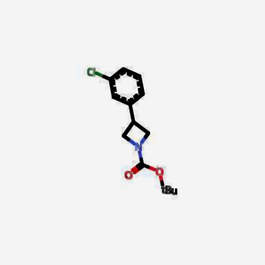 CC(C)(C)OC(=O)N1CC(c2cccc(Cl)c2)C1